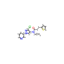 CCN(C(=O)CCc1cccs1)c1cn(-c2cccnc2)nc1Cl